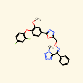 COc1cc(-c2nnc(CO/N=C(/c3ccccc3)c3nnnn3C)o2)ccc1Oc1ccc(F)cc1F